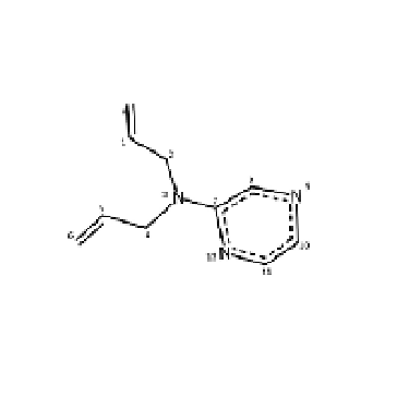 C=CCN(CC=C)c1cnccn1